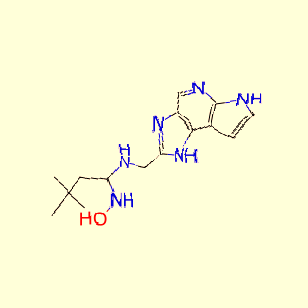 CC(C)(C)CC(NO)NCc1nc2cnc3[nH]ccc3c2[nH]1